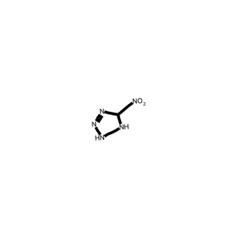 O=[N+]([O-])[C]1N=NNN1